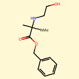 CNC(C)(NCCO)C(=O)OCc1ccccc1